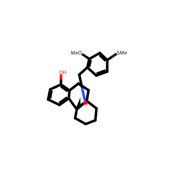 COc1cc(SC)ccc1CN1CCC23CCCCC2(CCc2c(O)cccc23)C1